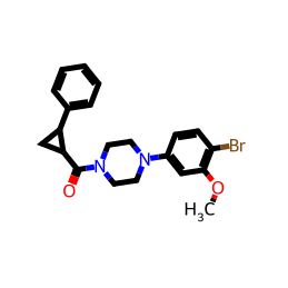 COc1cc(N2CCN(C(=O)C3CC3c3ccccc3)CC2)ccc1Br